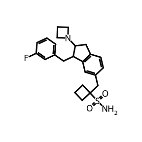 NS(=O)(=O)C1(Cc2ccc3c(c2)C(Cc2cccc(F)c2)C(N2CCC2)C3)CCC1